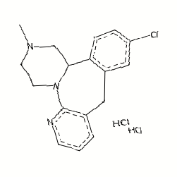 CN1CCN2c3ncccc3Cc3cc(Cl)ccc3C2C1.Cl.Cl